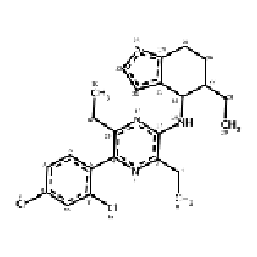 CCc1nc(-c2ccc(Cl)cc2Cl)c(CC)nc1NC1c2ccsc2CCC1CC